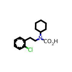 O=C(O)N(CCc1ccccc1Cl)C1CCCCC1